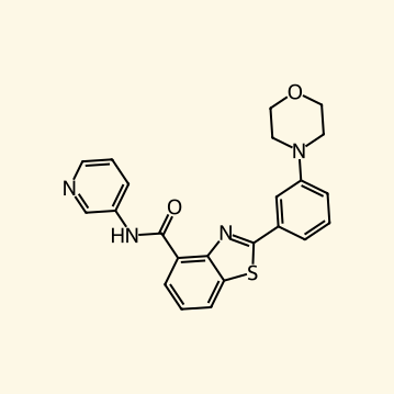 O=C(Nc1cccnc1)c1cccc2sc(-c3cccc(N4CCOCC4)c3)nc12